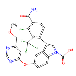 COCc1cc(Oc2ccc3c(c2)c(-c2ccc(C(N)=O)c(F)c2C(F)(F)F)cn3C(=O)O)ncn1